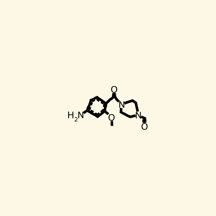 COc1cc(N)ccc1C(=O)N1CCN(C=O)CC1